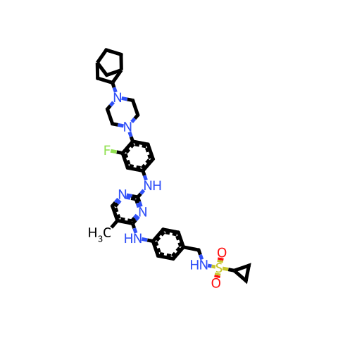 Cc1cnc(Nc2ccc(N3CCN(C4CC5CCC4C5)CC3)c(F)c2)nc1Nc1ccc(CNS(=O)(=O)C2CC2)cc1